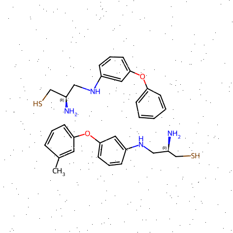 Cc1cccc(Oc2cccc(NC[C@@H](N)CS)c2)c1.N[C@@H](CS)CNc1cccc(Oc2ccccc2)c1